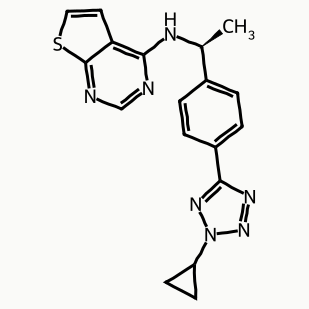 C[C@H](Nc1ncnc2sccc12)c1ccc(-c2nnn(C3CC3)n2)cc1